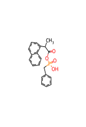 CC(C(=O)OP(=O)(O)Cc1ccccc1)c1cccc2ccccc12